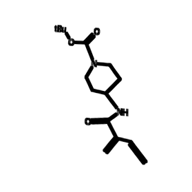 C=CC(=C)C(=O)NC1CCN(C(=O)OC(C)(C)C)CC1